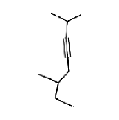 [CH2]CC(C)CC#CC(C)C